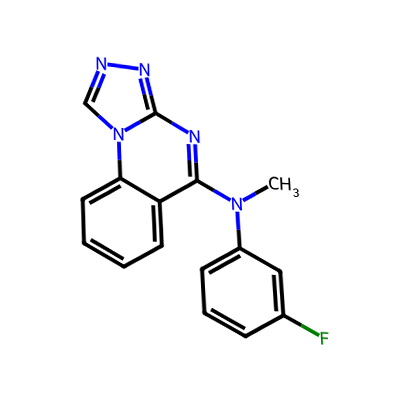 CN(c1cccc(F)c1)c1nc2nncn2c2ccccc12